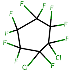 FC1(F)C(F)(F)C(F)(F)C(F)(Cl)C(F)(Cl)C1(F)F